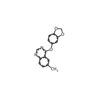 Cc1ccc2ncnc(Oc3ccc4c(c3)OCO4)c2c1